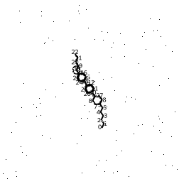 CCCCCCC1CCC(c2ccc(-c3ccc(OCCCC)cc3)cc2)CC1